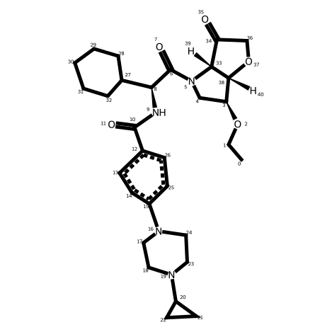 CCO[C@H]1CN(C(=O)[C@@H](NC(=O)c2ccc(N3CCN(C4CC4)CC3)cc2)C2CCCCC2)[C@@H]2C(=O)CO[C@H]12